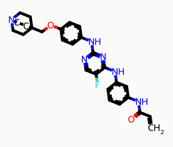 C=CC(=O)Nc1cccc(Nc2nc(Nc3ccc(OCC45CCN(CC4)CC5)cc3)ncc2F)c1